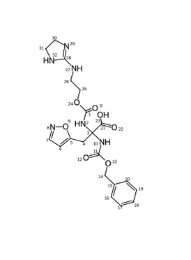 O=C(NC(Cc1ccno1)(NC(=O)OCc1ccccc1)C(=O)O)OCCNC1=NCCN1